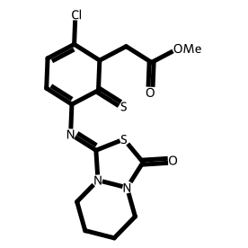 COC(=O)CC1C(=S)C(N=c2sc(=O)n3n2CCCC3)=CC=C1Cl